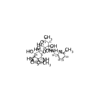 CNC1C2O[C@]3(O)[C@@H](O[C@H](C)C[C@@]3(O)CNCc3cccc(C)n3)O[C@@H]2[C@@H](O)[C@H](NC)[C@@H]1O